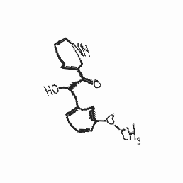 COc1cccc(C(O)C(=O)c2ccc[nH]2)c1